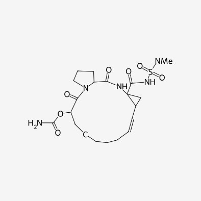 CNS(=O)(=O)NC(=O)C12CC1C=CCCCCCC(OC(N)=O)C(=O)N1CCCC1C(=O)N2